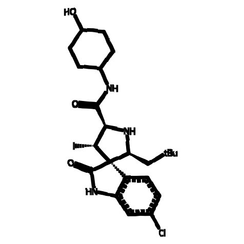 CC(C)(C)C[C@@H]1N[C@H](C(=O)NC2CCC(O)CC2)[C@@H](I)[C@]12C(=O)Nc1cc(Cl)ccc12